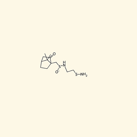 CC1(C)C2CCC1(C[S+]([O-])NCCSN)C(=O)C2